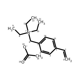 C=Cc1ccc(C[N+](CC)(CC)CC)cc1.CC(=O)[O-]